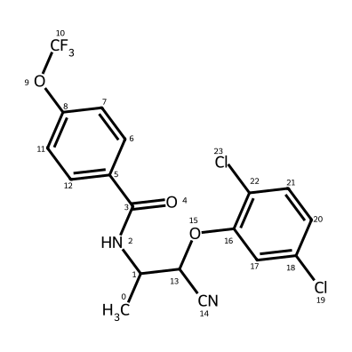 CC(NC(=O)c1ccc(OC(F)(F)F)cc1)C(C#N)Oc1cc(Cl)ccc1Cl